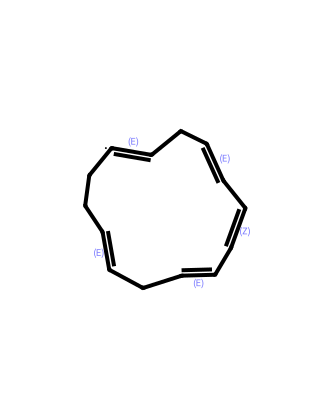 [C]1=C/C/C=C/C=C\C=C\C/C=C/CC/1